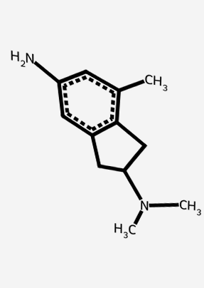 Cc1cc(N)cc2c1CC(N(C)C)C2